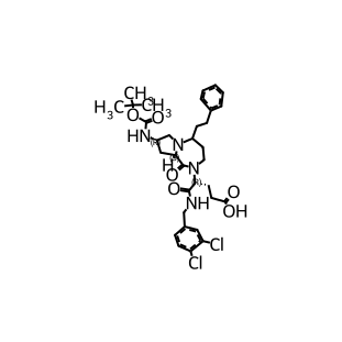 CC(C)(C)OC(=O)N[C@@H]1C[C@H]2C(=O)N([C@H](CCC(=O)O)C(=O)NCc3ccc(Cl)c(Cl)c3)CCC(CCc3ccccc3)N2C1